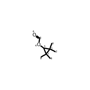 CC1(C)C(OC=O)C1(C)C